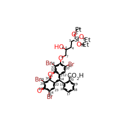 CCO[Si](CCC(O)COc1c(Br)cc2c(-c3ccccc3C(=O)O)c3cc(Br)c(=O)c(Br)c-3oc2c1Br)(OCC)OCC